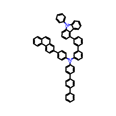 c1ccc(-c2ccc(-c3ccc(N(c4ccc(-c5ccc6c(ccc7ccccc76)c5)cc4)c4cccc(-c5cccc(-c6cccc7c6c6ccccc6n7-c6ccccc6)c5)c4)cc3)cc2)cc1